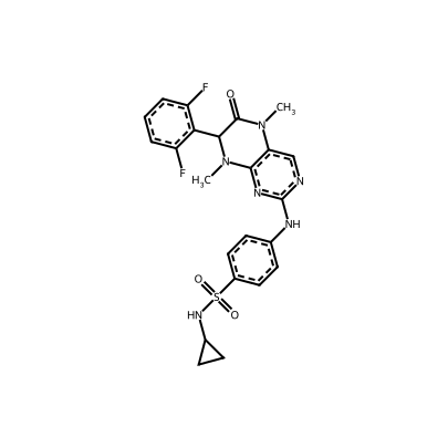 CN1C(=O)C(c2c(F)cccc2F)N(C)c2nc(Nc3ccc(S(=O)(=O)NC4CC4)cc3)ncc21